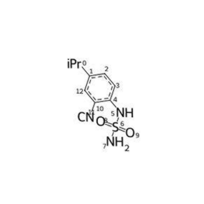 CC(C)c1ccc(NS(N)(=O)=O)c(C#N)c1